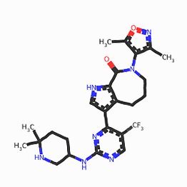 Cc1noc(C)c1N1CCCc2c(-c3nc(NC4CCC(C)(C)NC4)ncc3C(F)(F)F)c[nH]c2C1=O